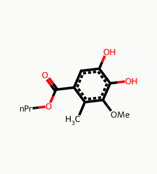 CCCOC(=O)c1cc(O)c(O)c(OC)c1C